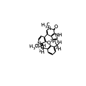 [2H]C([2H])([2H])c1cccc(C([2H])([2H])[2H])c1Oc1c(-c2cn(C)c(=O)c3[nH]ccc23)ccn(C)c1=O